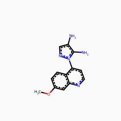 COc1ccc2c(-n3ncc(N)c3N)ccnc2c1